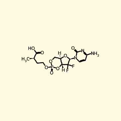 C[C@H](CCOP1(=O)OC[C@H]2O[C@@H](n3ccc(N)nc3=O)C(F)(F)[C@@H]2O1)C(=O)O